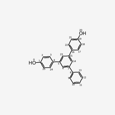 Oc1ccc(-c2cc(-c3ccccc3)cc(-c3ccc(O)cc3)c2)cc1